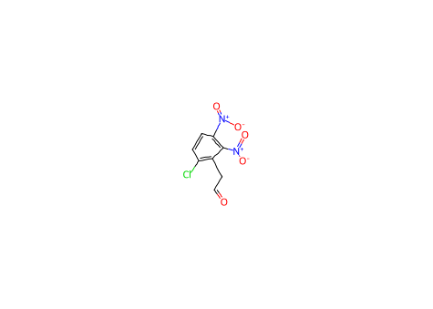 O=CCc1c(Cl)ccc([N+](=O)[O-])c1[N+](=O)[O-]